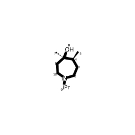 CC(C)N1CC[C@H](C)[C@](C)(O)CC1